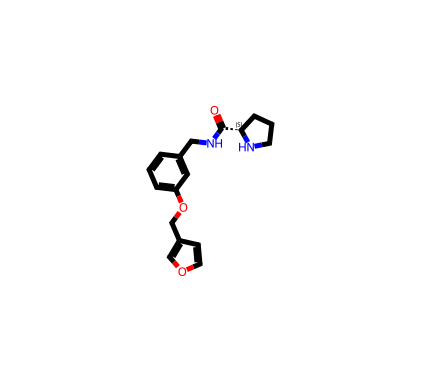 O=C(NCc1cccc(OCc2ccoc2)c1)[C@@H]1CCCN1